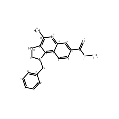 COC(=O)c1ccc2c3c(c(N)nc2c1)NCN3Cc1ccccc1